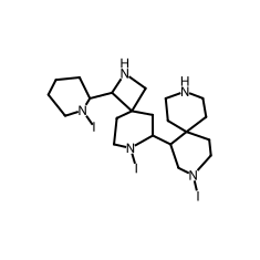 IN1CCC2(CCNCC2)C(C2CC3(CCN2I)CNC3C2CCCCN2I)C1